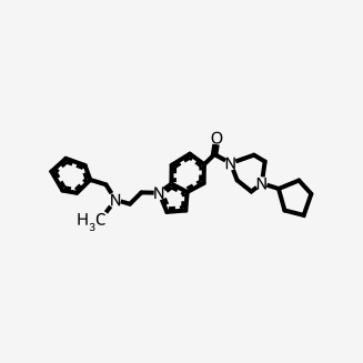 CN(CCn1ccc2cc(C(=O)N3CCN(C4CCCC4)CC3)ccc21)Cc1ccccc1